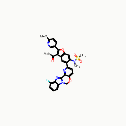 CNC(=O)c1c(-c2ccc(OC)nc2)oc2cc(N(C)S(C)(=O)=O)c(-c3ccc4c(n3)-c3nc5c(F)cccc5n3CO4)cc12